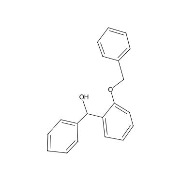 OC(c1ccccc1)c1ccccc1OCc1ccccc1